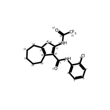 O=C(Nc1ccccc1Cl)c1c(NC(=O)C(F)(F)F)sc2c1CCCCC2